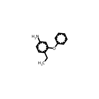 CCc1ccc(N)cc1Oc1ccccc1